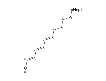 CCCCCCCCCCC/C=C/C=C/C=C/[O]